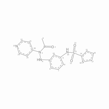 CC(=O)N(Nc1cccc(NS(=O)(=O)c2cccs2)c1)c1ccncc1